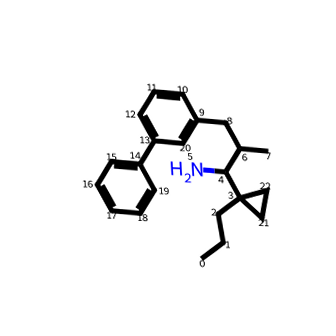 CCCC1(C(N)C(C)Cc2cccc(-c3ccccc3)c2)CC1